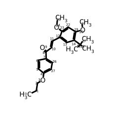 CCCOc1ccc(C(=O)C=Cc2cc(C(C)(C)C)c(OC)cc2OC)cc1